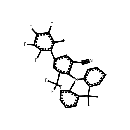 CC1(C)c2ccccc2N(c2c(C#N)cc(-c3c(F)c(F)c(F)c(F)c3F)cc2C(F)(F)F)c2ccccc21